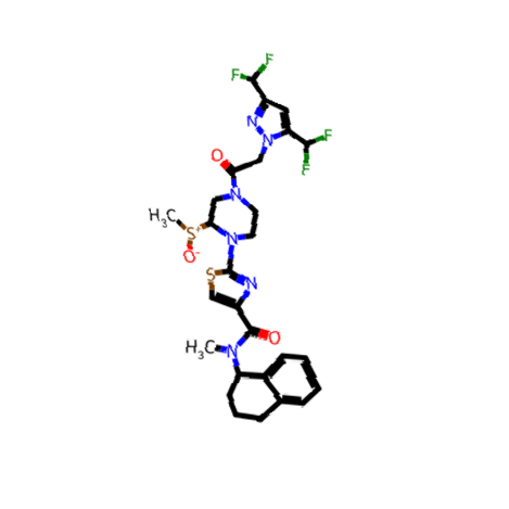 CN(C(=O)c1csc(N2CCN(C(=O)Cn3nc(C(F)F)cc3C(F)F)CC2[S+](C)[O-])n1)C1CCCc2ccccc21